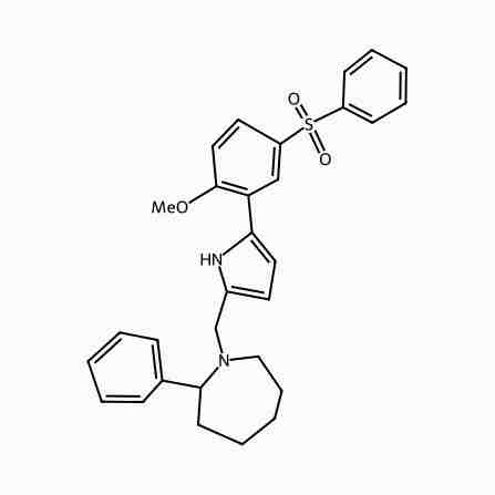 COc1ccc(S(=O)(=O)c2ccccc2)cc1-c1ccc(CN2CCCCCC2c2ccccc2)[nH]1